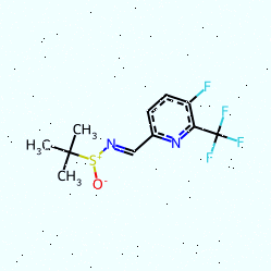 CC(C)(C)[S+]([O-])N=Cc1ccc(F)c(C(F)(F)F)n1